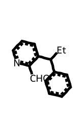 CCC(c1ccccc1)c1cccnc1C=O